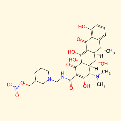 C[C@H]1c2cccc(O)c2C(=O)C2=C(O)[C@]3(O)C(=O)C(C(=O)NCN4CCCC(CO[N+](=O)[O-])C4)=C(O)[C@@H](N(C)C)[C@@H]3[C@@H](O)[C@@H]21